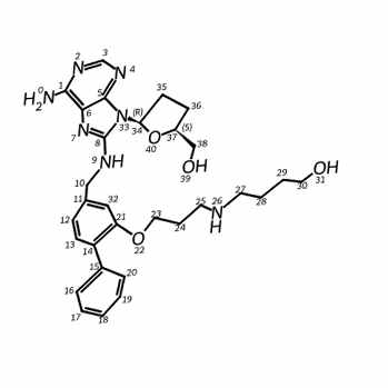 Nc1ncnc2c1nc(NCc1ccc(-c3ccccc3)c(OCCCNCCCCO)c1)n2[C@H]1CC[C@@H](CO)O1